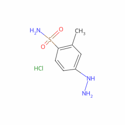 Cc1cc(NN)ccc1S(N)(=O)=O.Cl